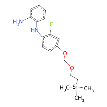 C[Si](C)(C)CCOCOc1ccc(Nc2ccccc2N)c(F)c1